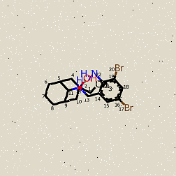 CCC1(O)CC2CCCC(C1)C2NCc1cc(Br)cc(Br)c1N